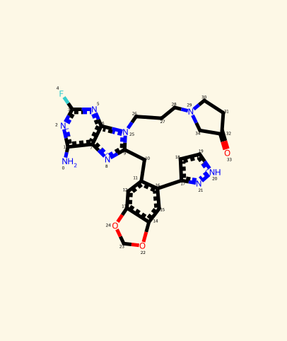 Nc1nc(F)nc2c1nc(Cc1cc3c(cc1-c1cc[nH]n1)OCO3)n2CCCN1CCC(=O)C1